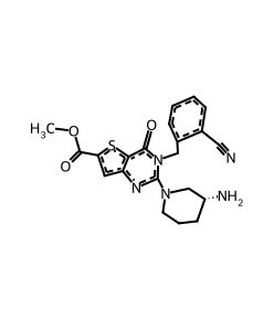 COC(=O)c1cc2nc(N3CCC[C@@H](N)C3)n(Cc3ccccc3C#N)c(=O)c2s1